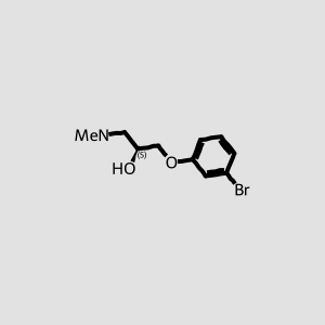 CNC[C@H](O)COc1cccc(Br)c1